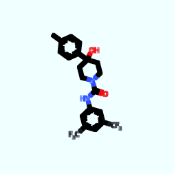 Cc1ccc(C2(O)CCN(C(=O)Nc3cc(C(F)(F)F)cc(C(F)(F)F)c3)CC2)cc1